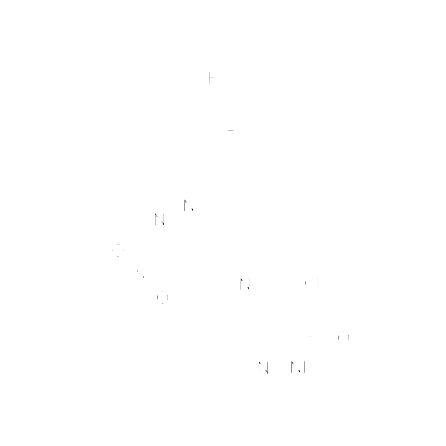 CCS(=O)(=O)c1nn(Cc2ccc(C)cc2C(F)F)c2c1CN(c1cn[nH]c(=O)c1Cl)CC2